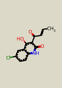 CC=CC(=O)c1c(O)c2cc(Cl)ccc2[nH]c1=O